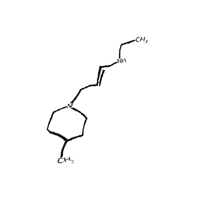 CCNC=CCN1CCC(C)CC1